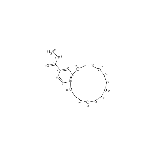 NNC(=O)c1ccc2c(c1)OCCOCCOCCOCCO2